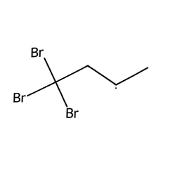 C[CH]CC(Br)(Br)Br